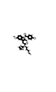 COc1ccc2c(c1)c(CC(=O)N(CCCSC)c1nccs1)c(C)n2C(=O)c1ccc(Cl)cc1